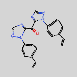 C=Cc1ccc(-n2ncnc2C(=O)c2ncnn2-c2ccc(C=C)cc2)cc1